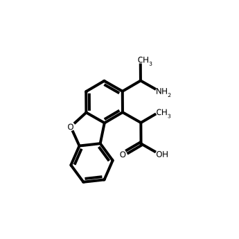 CC(N)c1ccc2oc3ccccc3c2c1C(C)C(=O)O